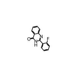 O=c1[nH]c(-c2ccccc2F)nc2ccccc12